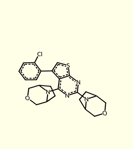 Clc1ccccc1-c1csc2nc(N3C4CCC3COC4)nc(N3C4CCC3COC4)c12